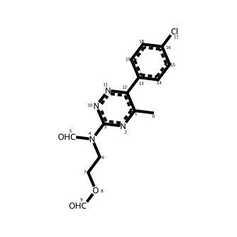 Cc1nc(N(C=O)CCOC=O)nnc1-c1ccc(Cl)cc1